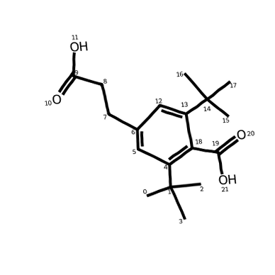 CC(C)(C)c1cc(CCC(=O)O)cc(C(C)(C)C)c1C(=O)O